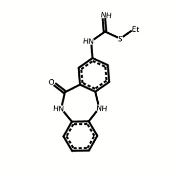 CCSC(=N)Nc1ccc2c(c1)C(=O)Nc1ccccc1N2